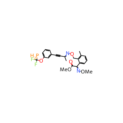 CO/N=C(/C(=O)OC)c1cccc(C)c1CO/N=C(\C)C#Cc1cccc(OC(F)(F)P)c1